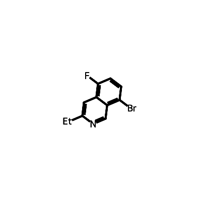 CCc1cc2c(F)ccc(Br)c2cn1